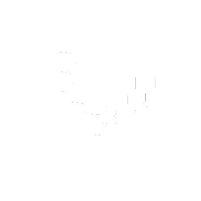 CC(CC(=O)Nc1cc(-c2cnc3ccccc3c2)nn1C(=O)OC(C)(C)C)CN1CCCCC1